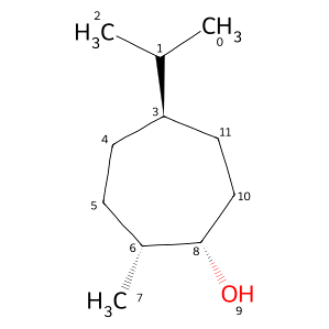 CC(C)[C@@H]1CC[C@@H](C)[C@@H](O)CC1